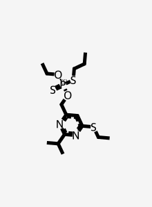 CCCS[P@@](=S)(OCC)OCc1cc(SCC)nc(C(C)C)n1